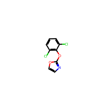 Clc1cccc(Cl)c1Oc1n[c]co1